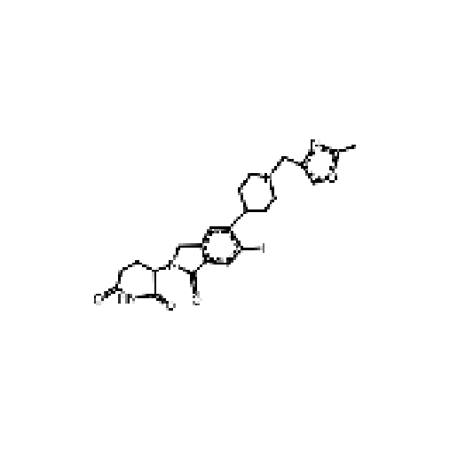 Cc1nc(CN2CCC(c3cc4c(cc3F)C(=O)N(C3CCC(=O)NC3=O)C4)CC2)co1